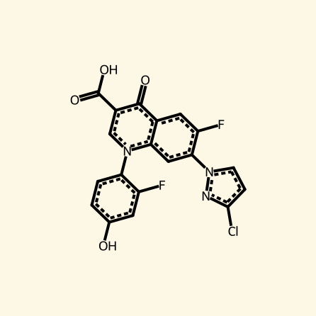 O=C(O)c1cn(-c2ccc(O)cc2F)c2cc(-n3ccc(Cl)n3)c(F)cc2c1=O